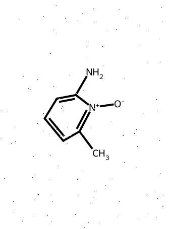 Cc1cccc(N)[n+]1[O-]